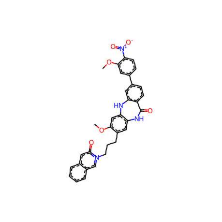 COc1cc2c(cc1CCCn1cc3ccccc3cc1=O)NC(=O)c1ccc(-c3ccc([N+](=O)[O-])c(OC)c3)cc1N2